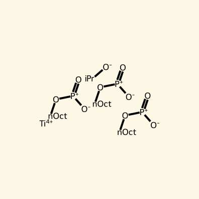 CC(C)[O-].CCCCCCCCO[P+](=O)[O-].CCCCCCCCO[P+](=O)[O-].CCCCCCCCO[P+](=O)[O-].[Ti+4]